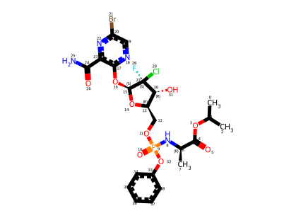 CC(C)OC(=O)[C@@H](C)NP(=O)(OC[C@H]1O[C@@H](Oc2ncc(Br)nc2C(N)=O)[C@@](F)(Cl)[C@@H]1O)Oc1ccccc1